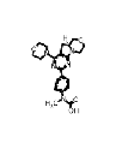 CN(C(=O)O)c1ccc(-c2nc(N3CCOCC3)c3c(n2)N2CCOC[C@@H]2C3)cc1